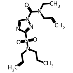 C=CCN(CC)C(=O)n1cnc(S(=O)(=O)N(CC=C)CCC)n1